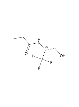 CCC(=O)N[C@H](CO)C(F)(F)F